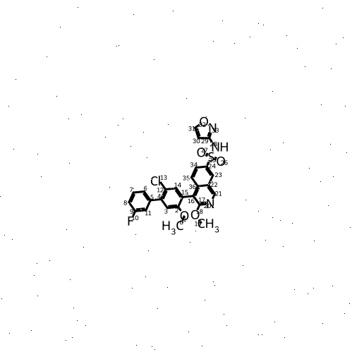 COc1cc(-c2cccc(F)c2)c(Cl)cc1-c1c(OC)ncc2cc(S(=O)(=O)Nc3ccon3)ccc12